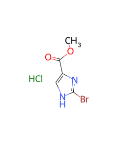 COC(=O)c1c[nH]c(Br)n1.Cl